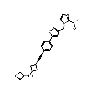 C[C@H](O)c1nccn1Cc1cc(-c2ccc(C#CC3CC(NC4COC4)C3)cc2)on1